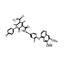 COc1cc2nccc(Oc3ccc(NC(=O)c4c(C)c(C(N)=O)c(C)n(-c5ccc(F)cc5)c4=O)cc3F)c2nc1OC